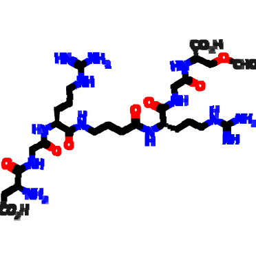 N=C(N)NCCC[C@H](NC(=O)CCCNC(=O)[C@H](CCCNC(=N)N)NC(=O)CNC(=O)[C@@H](N)CC(=O)O)C(=O)NCC(=O)N[C@@H](COC=O)C(=O)O